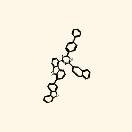 C1=CC(c2nc(-c3ccc(-c4ccccc4)cc3)nc(-c3cccc4oc5c(-c6ccc7c(c6)oc6ccccc67)cccc5c34)n2)Cc2ccccc21